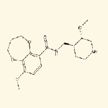 COc1ccc(C(=O)NC[C@@H]2CCNC[C@H]2OC)c2c1OCCCO2